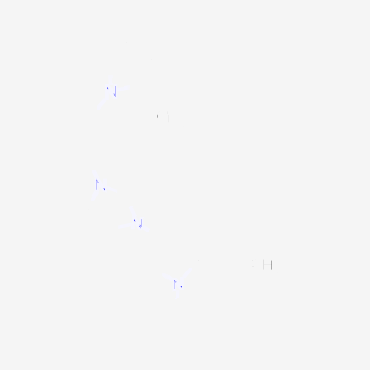 CC1CCCN(CCN2CCN(CCCN3CCC[C@@H]3C)C2)C1